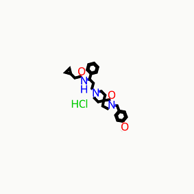 COc1ccc(CN2CCC3(CCN(CCC(NC(=O)CC4CC4)c4ccccc4)CC3)C2=O)cc1.Cl